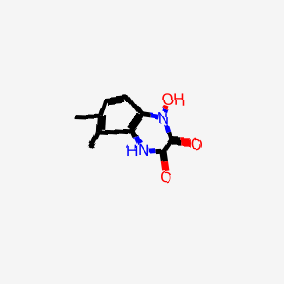 Cc1ccc2c([nH]c(=O)c(=O)n2O)c1C